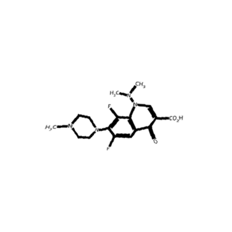 CN1CCN(c2c(F)cc3c(=O)c(C(=O)O)cn(N(C)C)c3c2F)CC1